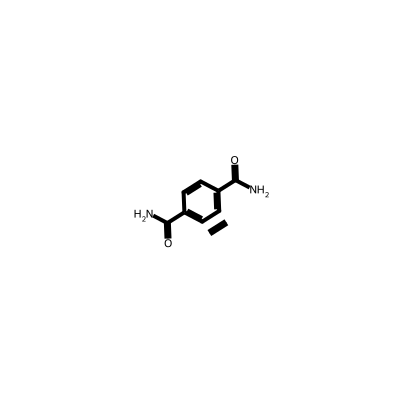 C=C.NC(=O)c1ccc(C(N)=O)cc1